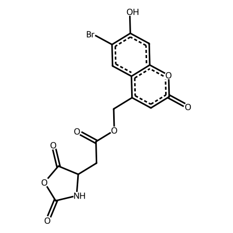 O=C(CC1NC(=O)OC1=O)OCc1cc(=O)oc2cc(O)c(Br)cc12